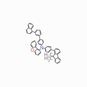 CC1(C)c2ccccc2-c2cccc(-c3ccc(N(c4ccc(-c5cccc(-c6cccc7ccccc67)c5)cc4)c4cccc5oc6ccccc6c45)cc3)c21